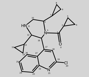 O=C(C1CC1)N1C(C2CC2)CNC(C2[CH]C2)C1c1cc(Cl)nc2ccccc12